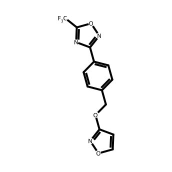 FC(F)(F)c1nc(-c2ccc(COc3ccon3)cc2)no1